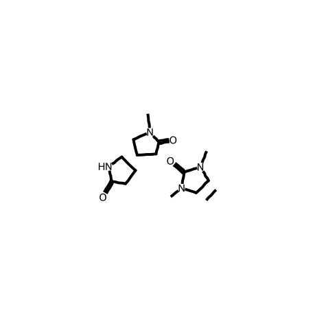 CC.CN1CCCC1=O.CN1CCN(C)C1=O.O=C1CCCN1